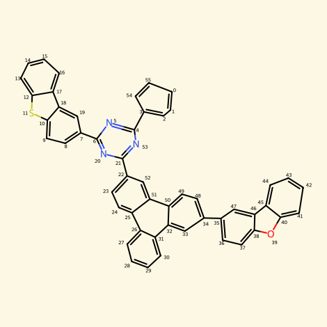 c1ccc(-c2nc(-c3ccc4sc5ccccc5c4c3)nc(-c3ccc4c5ccccc5c5cc(-c6ccc7oc8ccccc8c7c6)ccc5c4c3)n2)cc1